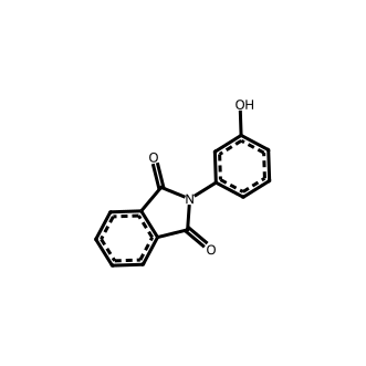 O=C1c2ccccc2C(=O)N1c1cccc(O)c1